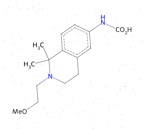 COCCN1CCc2cc(NC(=O)O)ccc2C1(C)C